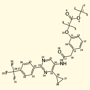 CC(C)(C)OC(=O)C(C)(C)Oc1cccc(CC(=O)Nc2cnc(-c3ccc(C(F)(F)F)cc3)nc2C2CC2)c1